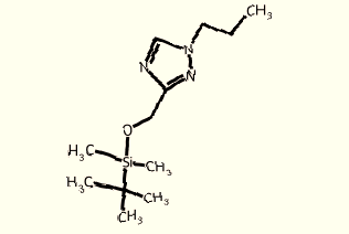 CCCn1cnc(CO[Si](C)(C)C(C)(C)C)n1